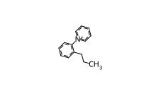 CCCc1ccccc1-[n+]1ccccc1